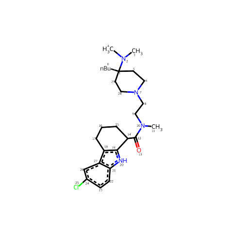 CCCCC1(N(C)C)CCN(CCN(C)C(=O)C2CCCc3c2[nH]c2ccc(Cl)cc32)CC1